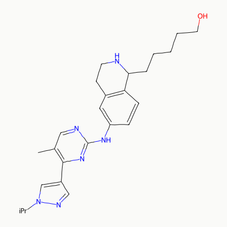 Cc1cnc(Nc2ccc3c(c2)CCNC3CCCCCO)nc1-c1cnn(C(C)C)c1